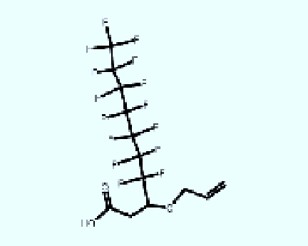 C=CCOC(CC(=O)O)C(F)(F)C(F)(F)C(F)(F)C(F)(F)C(F)(F)C(F)(F)C(F)(F)F